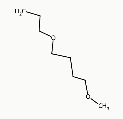 [CH2]CCOCCCCOC